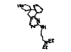 CCN(CC)CCCNc1ncc2c(n1)-c1ccccc1C1(CCNCC1)C2